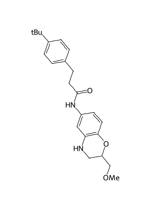 COCC1CNc2cc(NC(=O)CCc3ccc(C(C)(C)C)cc3)ccc2O1